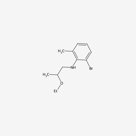 CCOC(C)CNc1c(C)cccc1Br